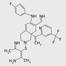 C=C(c1cc(C(F)(F)F)ccn1)C12CC(C=N)=C(Nc3ccc(F)cc3)C=C1CCN(S/C(C(C)=N)=C(\C)N)C2